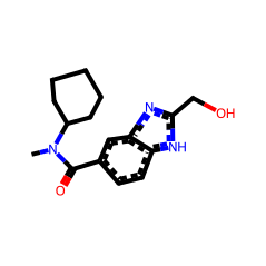 CN(C(=O)c1ccc2[nH]c(CO)nc2c1)C1CCCCC1